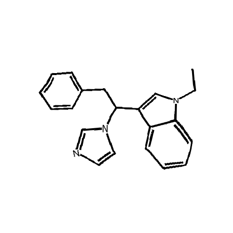 CCn1cc(C(Cc2ccccc2)n2ccnc2)c2ccccc21